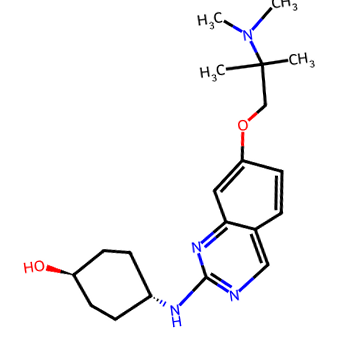 CN(C)C(C)(C)COc1ccc2cnc(N[C@H]3CC[C@H](O)CC3)nc2c1